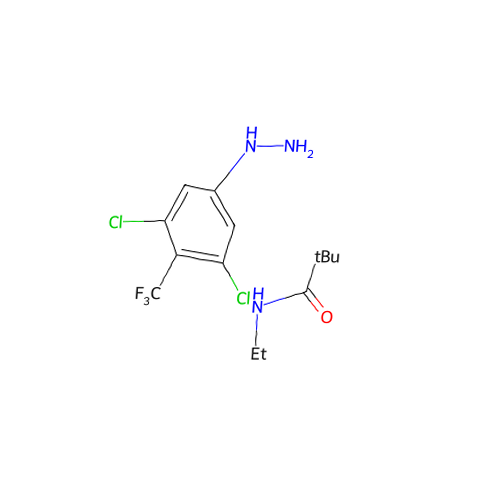 CCNC(=O)C(C)(C)C.NNc1cc(Cl)c(C(F)(F)F)c(Cl)c1